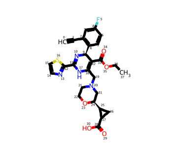 C#Cc1cc(F)ccc1[C@@H]1N=C(c2nccs2)NC(CN2CCO[C@H](C3CC3C(=O)O)C2)=C1C(=O)OCC